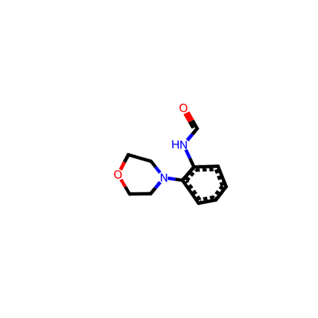 O=CNc1ccccc1N1CCOCC1